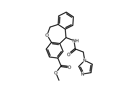 COC(=O)c1ccc2c(c1)C(NC(=O)Cn1ccnc1)c1ccccc1CO2